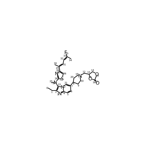 CCc1nc2ccc(C3CCN(CC4COC(=O)O4)CC3)cn2c1N(C)c1nc(/C(C)=C/C=C(\C)F)cs1